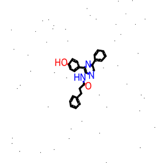 O=C(CCc1ccccc1)Nc1ncc(-c2ccccc2)nc1-c1ccc(O)cc1